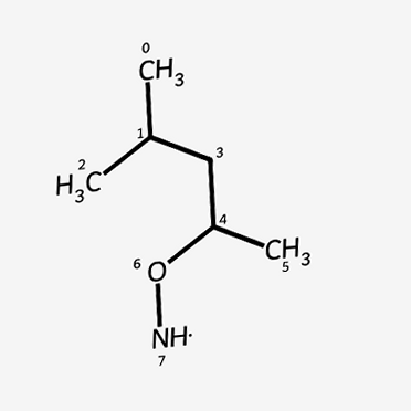 CC(C)CC(C)O[NH]